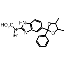 CC1OC(c2ccccc2)(c2ccc3[nH]c(N(C(=O)O)C(C)C)nc3c2)OC1C